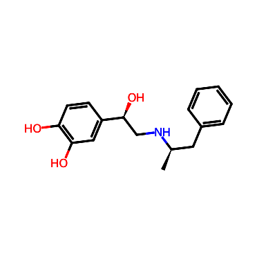 C[C@H](Cc1ccccc1)NC[C@H](O)c1ccc(O)c(O)c1